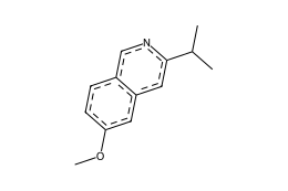 COc1ccc2cnc(C(C)C)cc2c1